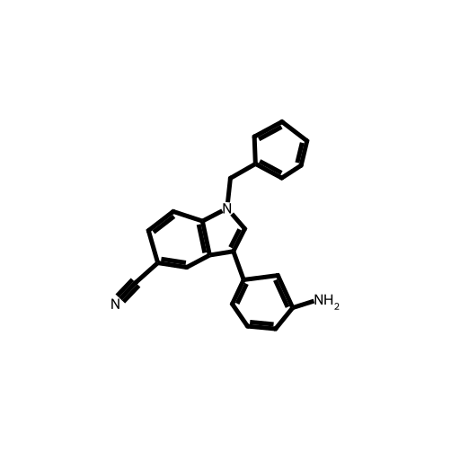 N#Cc1ccc2c(c1)c(-c1cccc(N)c1)cn2Cc1ccccc1